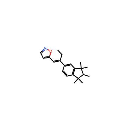 CCC(=Cc1ccno1)c1ccc2c(c1)C(C)(C)C(C)C2(C)C